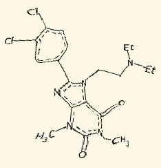 CCN(CC)CCn1c(-c2ccc(Cl)c(Cl)c2)nc2c1c(=O)n(C)c(=O)n2C